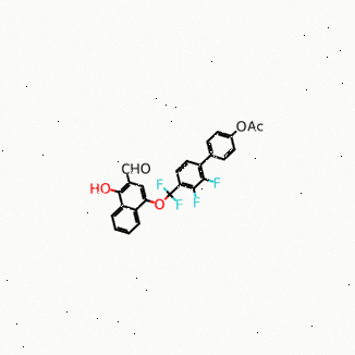 CC(=O)Oc1ccc(-c2ccc(C(F)(F)Oc3cc(C=O)c(O)c4ccccc34)c(F)c2F)cc1